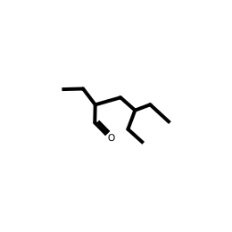 CCC(C=O)CC(CC)CC